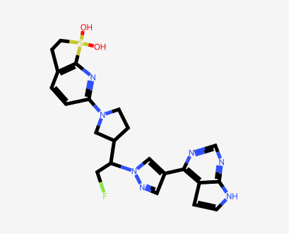 OS1(O)CCc2ccc(N3CCC(C(CF)n4cc(-c5ncnc6[nH]ccc56)cn4)C3)nc21